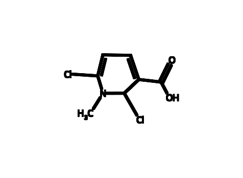 CN1C(Cl)=CC=C(C(=O)O)C1Cl